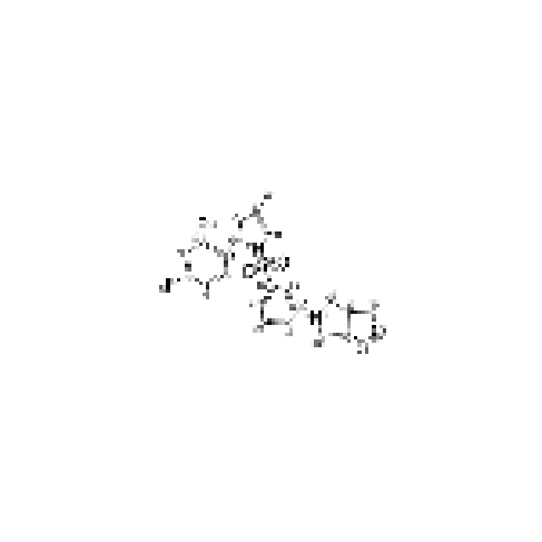 [CH2]c1cc(-c2ccc(F)cc2F)n(S(=O)(=O)c2cccc(N3CC4COCC4C3)c2)c1